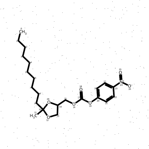 CCCCCCCCCCC1(C)OCC(COC(=O)Oc2ccc([N+](=O)[O-])cc2)O1